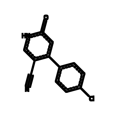 N#Cc1c[nH]c(=O)cc1-c1ccc(Cl)cc1